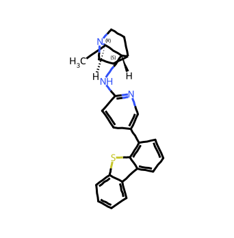 C[C@@H]1[C@@H](Nc2ccc(-c3cccc4c3sc3ccccc34)cn2)C2CCN1CC2